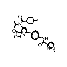 CC1CCC(C(=O)N(c2cc(-c3ccc(NC(=O)c4ccn(C)n4)cc3)sc2C(=O)O)C(C)C)CC1